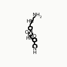 NCCCNCCC1CCC(n2cc3c(nc2=O)Nc2cc(C4CCNCC4)ccc2O3)CC1